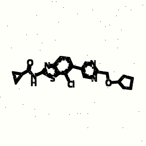 O=C(Nc1nc2ccc(-c3cnc(COC4CCCC4)nc3)c(Cl)c2s1)C1CC1